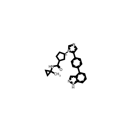 CC1(NC(=O)C2CC[C@@H](n3cncc3-c3ccc(-c4cccc5[nH]ncc45)cc3)C2)CC1